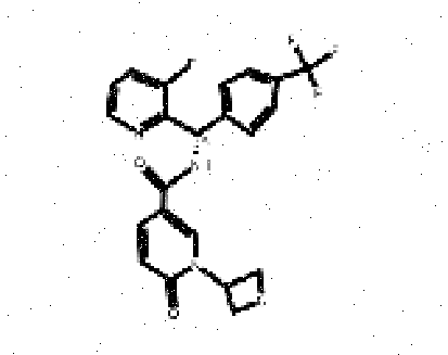 O=C(N[C@@H](c1ccc(C(F)(F)F)cc1)c1ncccc1F)c1ccc(=O)n(C2COC2)c1